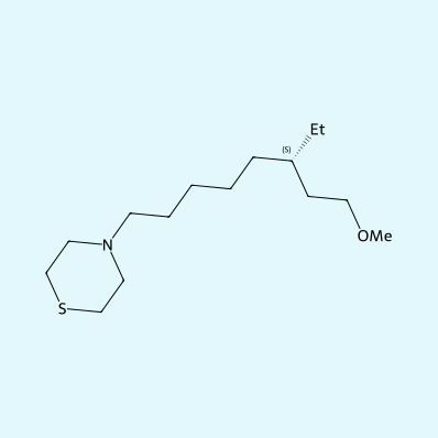 CC[C@@H](CCCCCN1CCSCC1)CCOC